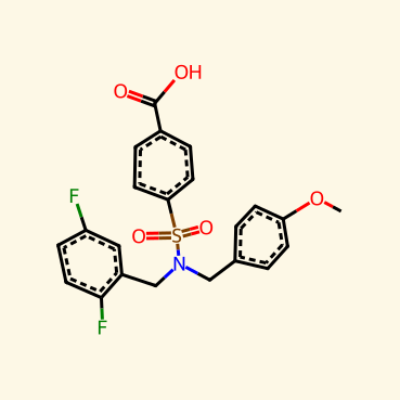 COc1ccc(CN(Cc2cc(F)ccc2F)S(=O)(=O)c2ccc(C(=O)O)cc2)cc1